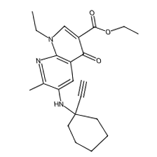 C#CC1(Nc2cc3c(=O)c(C(=O)OCC)cn(CC)c3nc2C)CCCCC1